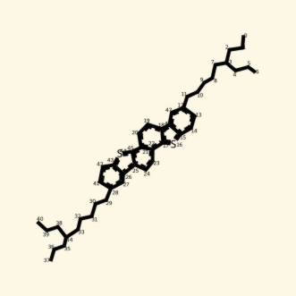 CCCC(CCC)CCCCCc1ccc2sc3c(ccc4c3ccc3c5cc(CCCCCC(CCC)CCC)ccc5sc34)c2c1